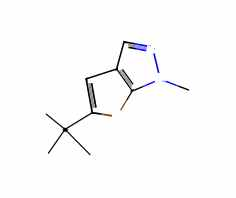 Cn1ncc2cc(C(C)(C)C)sc21